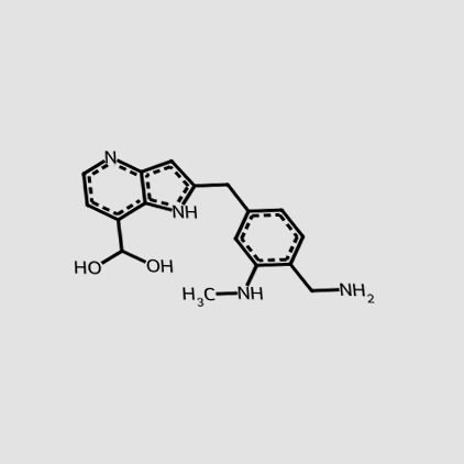 CNc1cc(Cc2cc3nccc(C(O)O)c3[nH]2)ccc1CN